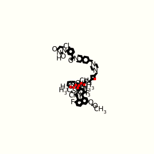 COCOc1cc(-c2ncc3c(N4CC5CCC(C4)N5C(=O)OC(C)(C)C)nc(OCC45CC(CN6CCN(CC7CCC8(CC7)CCN(C(=O)c7ccc(Cl)c(N9CCC(=O)NC9=O)c7)CC8)CC6)(C4)C5)nc3c2F)c2c(C#C[Si](C(C)C)(C(C)C)C(C)C)c(F)ccc2c1